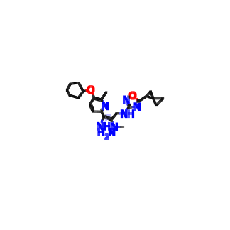 Cc1nc(/C(N)=C(\CNc2noc(C3CC34CC4)n2)N(C)N)ccc1OC1CCCCC1